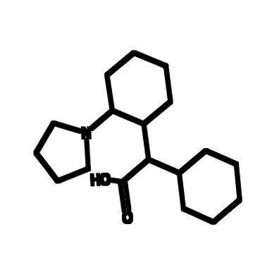 O=C(O)C(C1CCCCC1)C1CCCCC1N1CCCC1